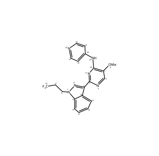 COc1cnc(-c2nn(CCC(F)(F)F)c3ccccc23)nc1Nc1ccncc1